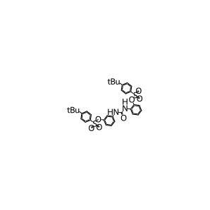 CC(C)(C)c1ccc(S(=O)(=O)Oc2cccc(NC(=O)Nc3ccccc3OS(=O)(=O)c3ccc(C(C)(C)C)cc3)c2)cc1